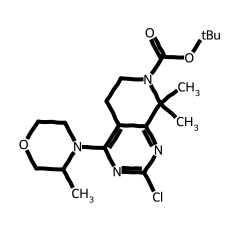 CC1COCCN1c1nc(Cl)nc2c1CCN(C(=O)OC(C)(C)C)C2(C)C